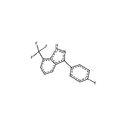 Fc1ccc(-c2n[nH]c3c(C(F)(F)F)cccc23)cc1